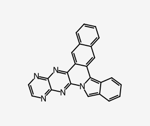 c1ccc2cc3c(cc2c1)c1nc2nccnc2nc1n1cc2ccccc2c31